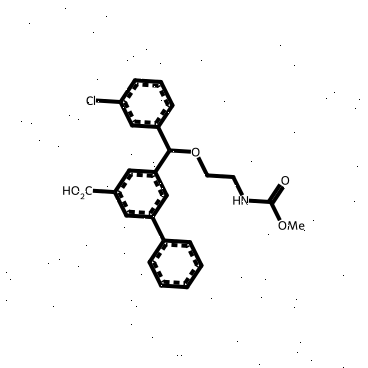 COC(=O)NCCOC(c1cccc(Cl)c1)c1cc(C(=O)O)cc(-c2ccccc2)c1